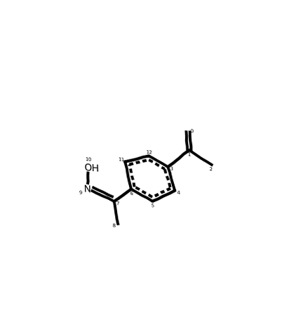 C=C(C)c1ccc(/C(C)=N\O)cc1